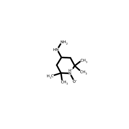 CC1(C)CC(NN)CC(C)(C)[NH+]1[O-]